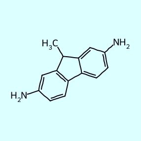 CC1c2cc(N)ccc2-c2ccc(N)cc21